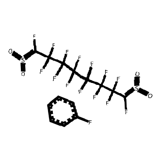 Fc1ccccc1.O=S(=O)=C(F)C(F)(F)C(F)(F)C(F)(F)C(F)(F)C(F)(F)C(F)(F)C(F)=S(=O)=O